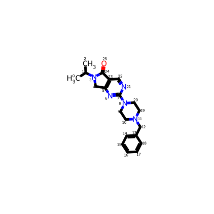 CC(C)N1Cc2nc(N3CCN(Cc4ccccc4)CC3)ncc2C1=O